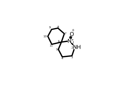 O=[N+]1NCCCC12CCCCC2